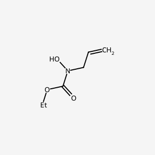 C=CCN(O)C(=O)OCC